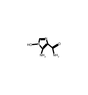 NC(=O)c1ncn(O)c1N